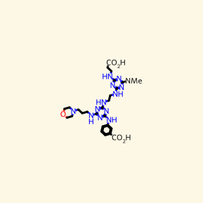 CNc1nc(NCCNc2nc(NCCCN3CCOCC3)nc(Nc3cccc(C(=O)O)c3)n2)nc(NCCC(=O)O)n1